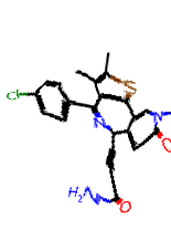 Cc1sc2c(c1C)C(c1ccc(Cl)cc1)=NC(C#CC(N)=O)c1cc(=O)n(C)cc1-2